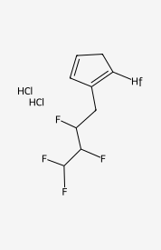 Cl.Cl.FC(F)C(F)C(F)CC1=[C]([Hf])CC=C1